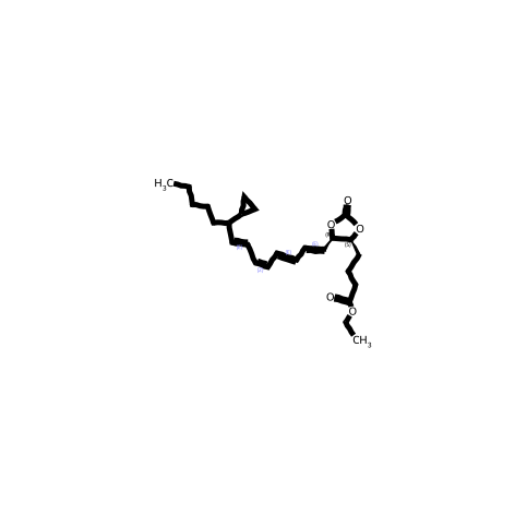 CCCCCC(/C=C/C=C\C=C\C=C\[C@H]1OC(=O)O[C@H]1CCCC(=O)OCC)C1CC1